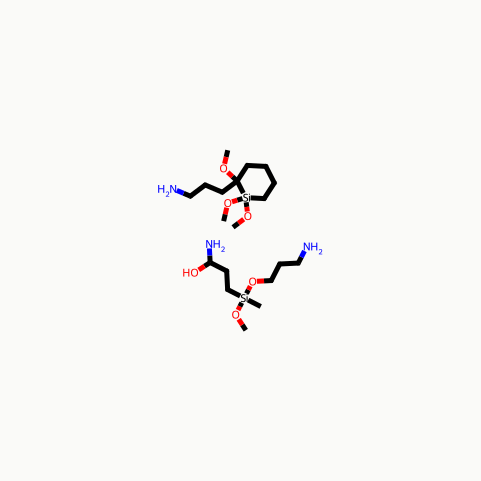 COC1(CCCN)CCCC[Si]1(OC)OC.CO[Si](C)(CCC(N)O)OCCCN